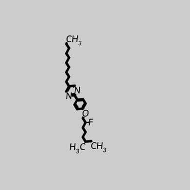 CCCCCCCCCCc1cnc(-c2ccc(OC[C@@H](F)CCC[C@@H](C)CC)cc2)nc1